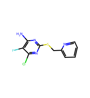 Nc1nc(SCc2ccccn2)nc(Cl)c1F